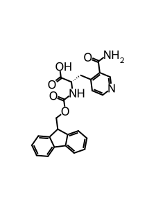 NC(=O)c1cnccc1C[C@H](NC(=O)OCC1c2ccccc2-c2ccccc21)C(=O)O